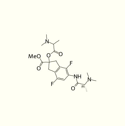 COC(=O)C1(OC(=O)C(C)N(C)C)Cc2c(F)cc(NC(=O)[C@@H](C)N(C)C)c(F)c2C1